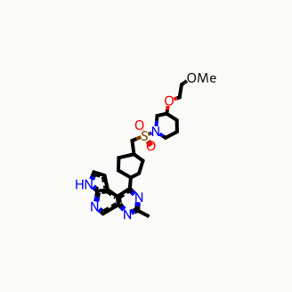 COCCOC1CCCN(S(=O)(=O)CC2CCC(c3nc(C)nc4cnc5[nH]ccc5c34)CC2)C1